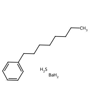 CCCCCCCCc1cc[c]cc1.S.[BaH2]